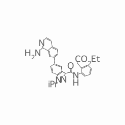 CCOC(=O)Cc1ccccc1NC(=O)c1nn(C(C)C)c2ccc(-c3ccc4ccnc(N)c4c3)cc12